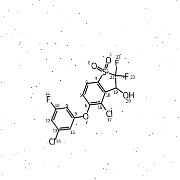 O=S1(=O)c2ccc(Oc3cc(F)cc(Cl)c3)c(Cl)c2C(O)C1(F)F